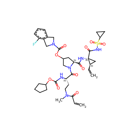 C=CC(=O)N(C)CC[C@H](NC(=O)OC1CCCC1)C(=O)N1CC(OC(=O)N2Cc3cccc(F)c3C2)C[C@H]1C(=O)N[C@]1(C(=O)NS(=O)(=O)C2CC2)C[C@H]1C=C